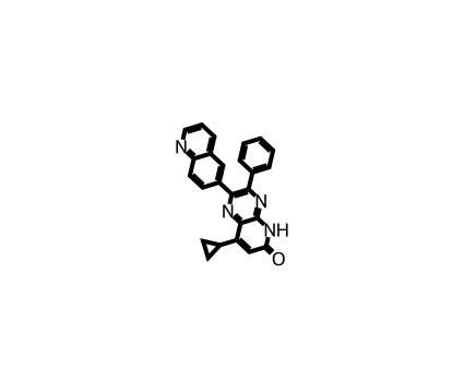 O=c1cc(C2CC2)c2nc(-c3ccc4ncccc4c3)c(-c3ccccc3)nc2[nH]1